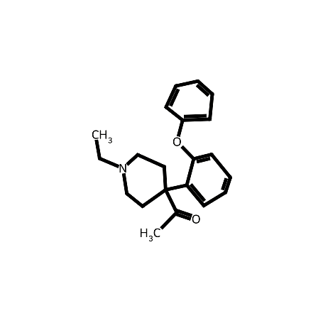 CCN1CCC(C(C)=O)(c2ccccc2Oc2ccccc2)CC1